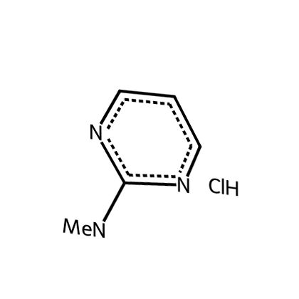 CNc1ncccn1.Cl